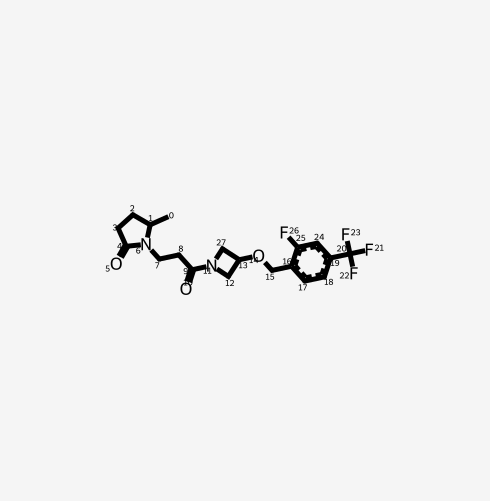 CC1CCC(=O)N1CCC(=O)N1CC(OCc2ccc(C(F)(F)F)cc2F)C1